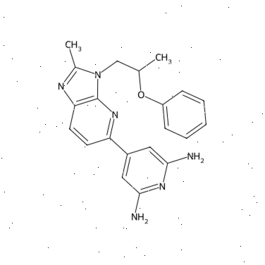 Cc1nc2ccc(-c3cc(N)nc(N)c3)nc2n1CC(C)Oc1ccccc1